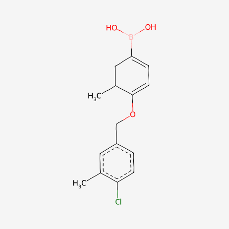 Cc1cc(COC2=CC=C(B(O)O)CC2C)ccc1Cl